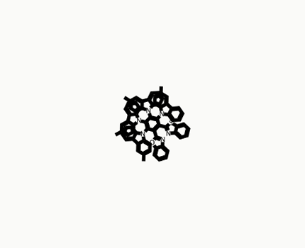 Cc1ccc2c(c1)c1ccccc1n2-c1c(-c2nc3ccccc3o2)c(-c2nc3ccccc3s2)c(-n2c3ccccc3c3cc(C)ccc32)c(-n2c3ccccc3c3cc(C)ccc32)c1-n1c2ccccc2c2cc(C)ccc21